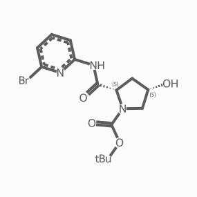 CC(C)(C)OC(=O)N1C[C@@H](O)C[C@H]1C(=O)Nc1cccc(Br)n1